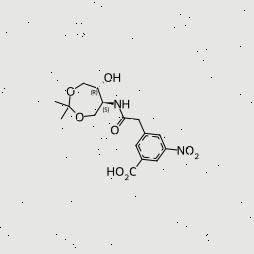 CC1(C)OC[C@H](NC(=O)Cc2cc(C(=O)O)cc([N+](=O)[O-])c2)[C@@H](O)CO1